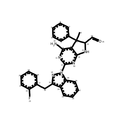 CC1(c2ccccc2)c2c(N)nc(-n3nc(Cc4ccccc4F)c4ccccc43)nc2NC1C=O